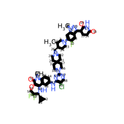 C[C@H]1CN(c2cc3c(cc2F)c(C2CCC(=O)NC2=O)nn3C)CC[C@H]1CN1CCC2(CC1)CCN(c1ncc(Cl)c(Nc3ccc4c(c3)c3c(c(=O)n4C)OCC(F)(F)[C@H](C4CC4)N3)n1)CC2